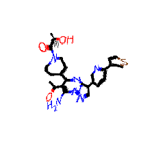 CC(=O)c1c(C2CCN(C(=O)[C@@H](C)O)CC2)nc2c(-c3ccc(-c4ccsc4)nc3)cnn2c1N